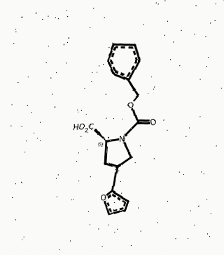 O=C(O)[C@@H]1CC(c2ccco2)CN1C(=O)OCc1ccccc1